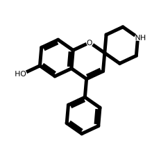 Oc1ccc2c(c1)C(c1ccccc1)=CC1(CCNCC1)O2